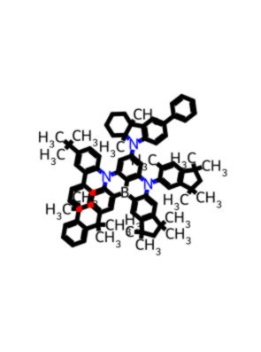 Cc1cc2c(cc1N1c3cc4c(cc3B3c5cc6c(cc5N(c5ccc(C(C)(C)C)cc5-c5ccccc5)c5cc(N7c8ccc(-c9ccccc9)cc8C8(C)CCCCC78C)cc1c53)C(C)(C)c1ccccc1C6(C)C)C(C)(C)CC4(C)C)C(C)(C)CC2(C)C